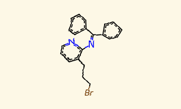 BrCCCc1cccnc1N=C(c1ccccc1)c1ccccc1